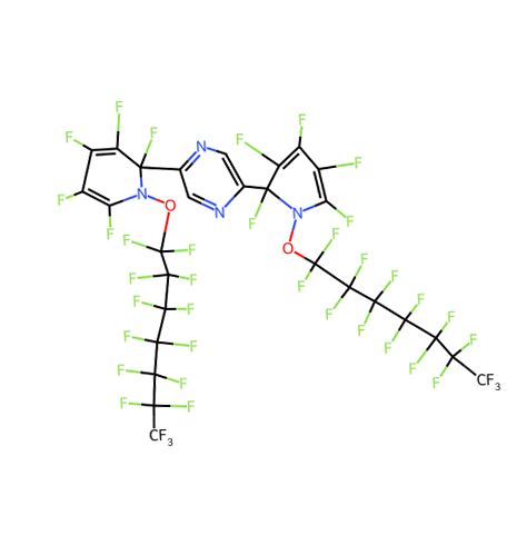 FC1=C(F)N(OC(F)(F)C(F)(F)C(F)(F)C(F)(F)C(F)(F)C(F)(F)C(F)(F)F)C(F)(c2cnc(C3(F)C(F)=C(F)C(F)=C(F)N3OC(F)(F)C(F)(F)C(F)(F)C(F)(F)C(F)(F)C(F)(F)C(F)(F)F)cn2)C(F)=C1F